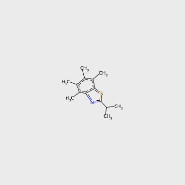 Cc1c(C)c(C)c2sc(C(C)C)nc2c1C